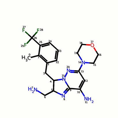 Cc1c(CC2C(CN)N=C3C(N)=CC(N4CCOCC4)=NN32)cccc1C(F)(F)F